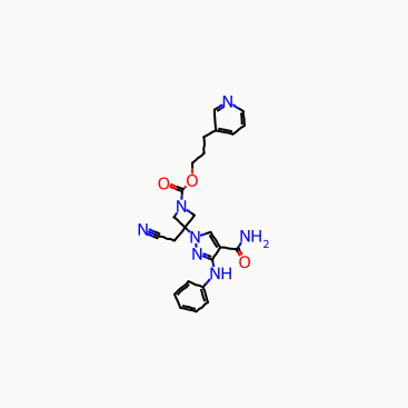 N#CCC1(n2cc(C(N)=O)c(Nc3ccccc3)n2)CN(C(=O)OCCCc2cccnc2)C1